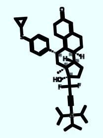 CC(C)[Si](C#CC(F)(F)[C@]1(O)CC[C@H]2[C@@H]3CCC4=CC(=O)CCC4=C3[C@@H](c3ccc(SC4CC4)cc3)C[C@@]21C)(C(C)C)C(C)C